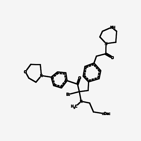 CCCCCCCCCCCCN(C)C(CC)(Cc1ccc(CC(=O)N2CCNCC2)cc1)C(=O)c1ccc(N2CCOCC2)cc1